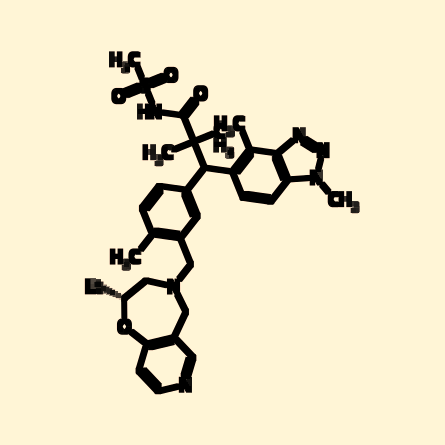 CC[C@@H]1CN(Cc2cc(C(c3ccc4c(nnn4C)c3C)C(C)(C)C(=O)NS(C)(=O)=O)ccc2C)Cc2cnccc2O1